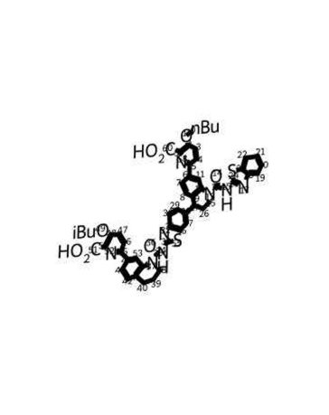 CCCCOc1ccc(-c2ccc3c(c2)N(C(=O)Nc2nc4ccccc4s2)CCC3c2ccc3nc(NC(=O)N4CCCc5ccc(-c6ccc(OCC(C)C)c(C(=O)O)n6)cc54)sc3c2)nc1C(=O)O